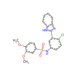 COc1ccc(S(=O)(=O)Nc2ccc(Cl)c(-c3nc4ccccc4[nH]3)c2)cc1OC